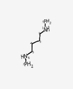 PNCCCCNP